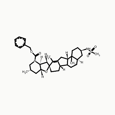 CC1=C2C[C@H]3C(CC[C@@H]4C[C@H](NS(C)(=O)=O)CCC43C)[C@@H]2CC[C@]12O[C@@H]1C[C@H](C)CN(C(=O)OCc3ccccc3)[C@H]1[C@H]2C